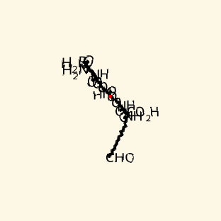 BC(=O)[C@@H](N)CCCCNC(=O)COCCOCCNC(=O)COCCOCCNC(=O)CC[C@H](NC(=O)CCCCCCCCCCCCCCCCC=O)C(=O)O